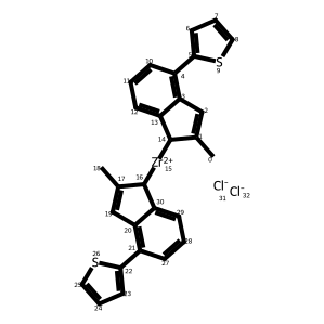 CC1=Cc2c(-c3cccs3)cccc2[CH]1[Zr+2][CH]1C(C)=Cc2c(-c3cccs3)cccc21.[Cl-].[Cl-]